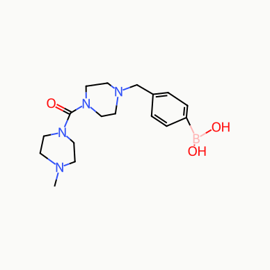 CN1CCN(C(=O)N2CCN(Cc3ccc(B(O)O)cc3)CC2)CC1